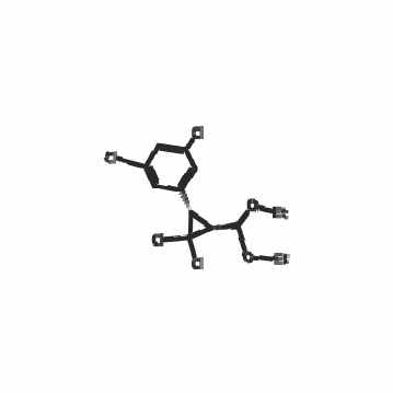 CCOC(OCC)[C@@H]1[C@@H](c2cc(Cl)cc(Cl)c2)C1(Cl)Cl